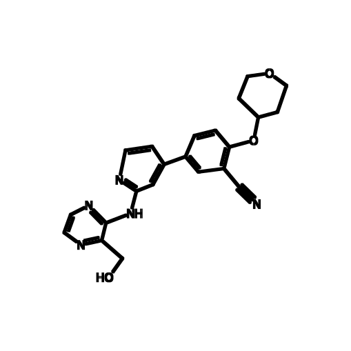 N#Cc1cc(-c2ccnc(Nc3nccnc3CO)c2)ccc1OC1CCOCC1